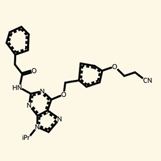 CC(C)n1cnc2c(OCc3ccc(OCCC#N)cc3)nc(NC(=O)Cc3ccccc3)nc21